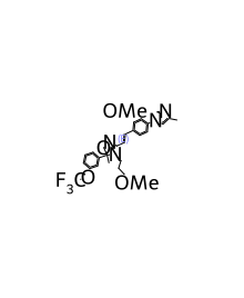 COCCCN1C(/C=C/c2ccc(-n3cnc(C)c3)c(OC)c2)=NOC1(C)c1cccc(OC(F)(F)F)c1